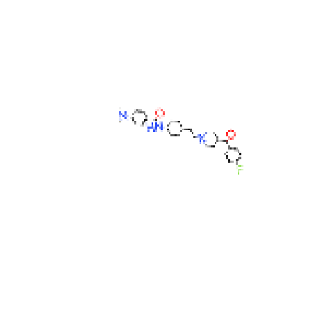 CN(C)c1ccc(C(=O)N[C@H]2CC[C@H](CCN3CCC(C(=O)c4ccc(F)cc4)CC3)CC2)cc1